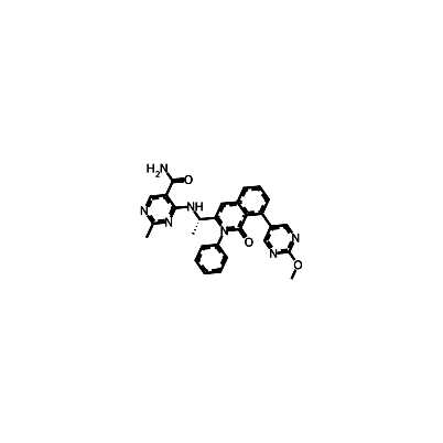 COc1ncc(-c2cccc3cc([C@H](C)Nc4nc(C)ncc4C(N)=O)n(-c4ccccc4)c(=O)c23)cn1